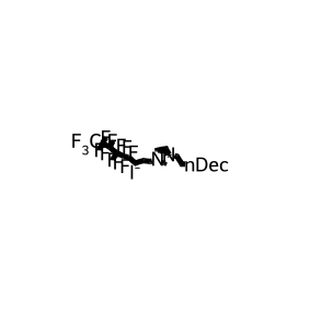 CCCCCCCCCCCCn1cc[n+](CCCC(F)(F)C(F)(F)C(F)(F)C(F)(F)C(F)(F)C(F)(F)F)c1.[I-]